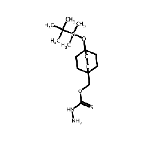 CC(C)(C)[Si](C)(C)OC12CCC(COC(=S)NN)(CC1)CC2